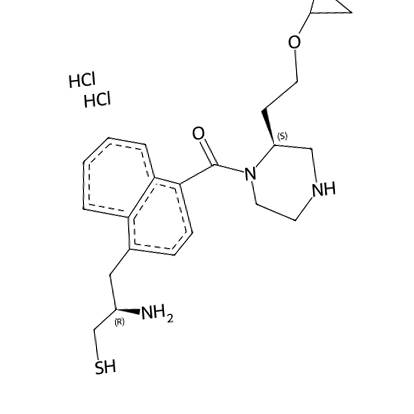 Cl.Cl.N[C@@H](CS)Cc1ccc(C(=O)N2CCNC[C@@H]2CCOC2CC2)c2ccccc12